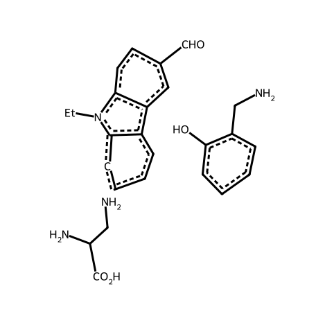 CCn1c2ccccc2c2cc(C=O)ccc21.NCC(N)C(=O)O.NCc1ccccc1O